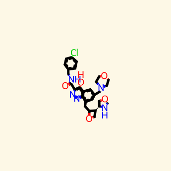 O=C(NCc1ccc(Cl)cc1)c1nnc2c(CC3OCC3[C@@H]3COCN3)cc(CN3CCOCC3)cc2c1O